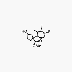 COC(=O)C1(c2ccc(F)c(F)c2C)CCC(O)C1